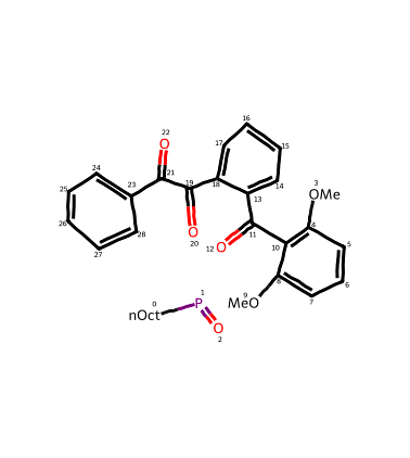 CCCCCCCCP=O.COc1cccc(OC)c1C(=O)c1ccccc1C(=O)C(=O)c1ccccc1